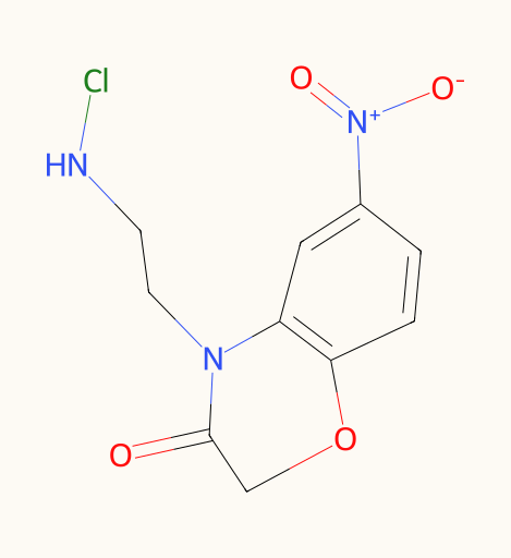 O=C1COc2ccc([N+](=O)[O-])cc2N1CCNCl